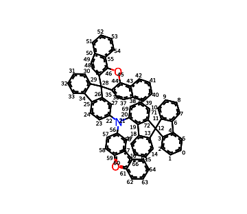 c1ccc2c(c1)-c1ccccc1C21c2ccccc2-c2c(N(c3ccc4c(c3)C3(c5ccccc5-4)c4ccc5ccccc5c4Oc4c3ccc3ccccc43)c3ccc4oc5ccccc5c4c3)cccc21